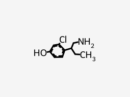 CCC(CN)c1ccc(O)cc1Cl